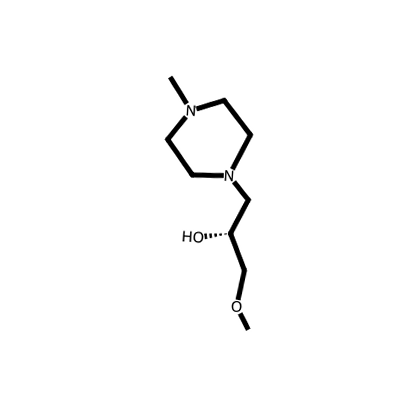 COC[C@H](O)CN1CCN(C)CC1